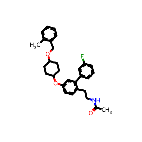 CC(=O)NCCc1ccc(OC2CCC(OCc3ccccc3C)CC2)cc1-c1cccc(F)c1